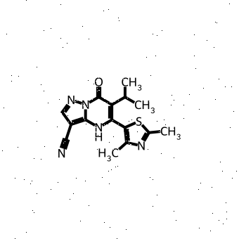 Cc1nc(C)c(-c2[nH]c3c(C#N)cnn3c(=O)c2C(C)C)s1